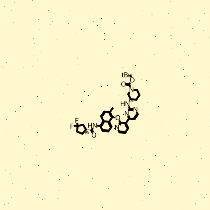 Cc1ccc2c(NC(=O)[C@@H]3CCC(F)(F)C3)cccc2c1Oc1ncccc1-c1ccnc(N[C@H]2CCCN(C(=O)OC(C)(C)C)C2)n1